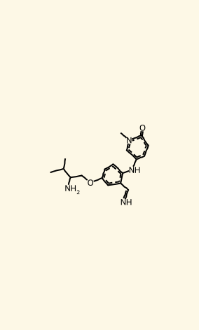 CC(C)C(N)COc1ccc(Nc2ccc(=O)n(C)c2)c(C=N)c1